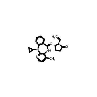 C=CN1CCCC1=O.Cc1ccnc2c1NC(=O)c1cccnc1N2C1CC1